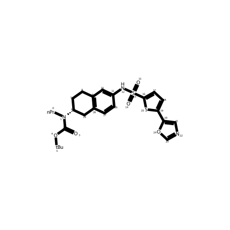 CCCN(C(=O)OC(C)(C)C)[C@@H]1CCc2cc(NS(=O)(=O)c3ccc(-c4cnco4)s3)ccc2C1